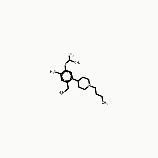 CCCCN1CCC(c2cc(OC(C)C)c(N)cc2CN)CC1